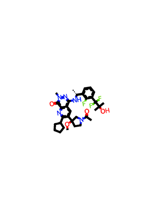 COC1(c2cc3c(N[C@H](C)c4cccc(C(F)(F)C(C)(C)O)c4F)nn(C)c(=O)c3nc2C2CCCC2)CCN(C(C)=O)C1